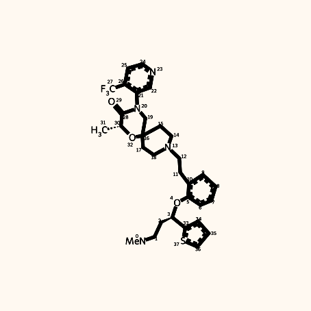 CNCC[C@@H](Oc1ccccc1CCN1CCC2(CC1)CN(c1cnccc1C(F)(F)F)C(=O)[C@@H](C)O2)c1cccs1